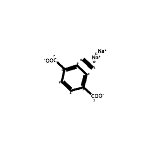 C=C.O=C([O-])c1ccc(C(=O)[O-])cc1.[Na+].[Na+]